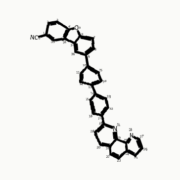 N#Cc1ccc2oc3ccc(-c4ccc(-c5ccc(-c6ccc7ccc8cccnc8c7n6)cc5)cc4)cc3c2c1